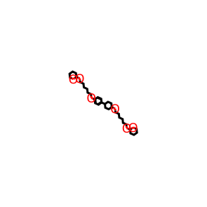 c1cc(C2CCC(OCCCCCCOC3CCCCO3)CC2)ccc1OCCCCCCOC1CCCCO1